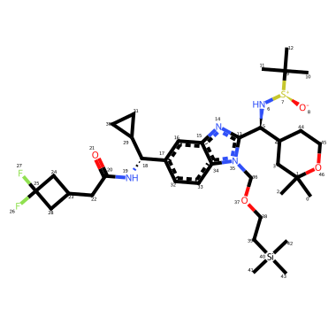 CC1(C)CC([C@H](N[S@+]([O-])C(C)(C)C)c2nc3cc([C@H](NC(=O)CC4CC(F)(F)C4)C4CC4)ccc3n2COCC[Si](C)(C)C)CCO1